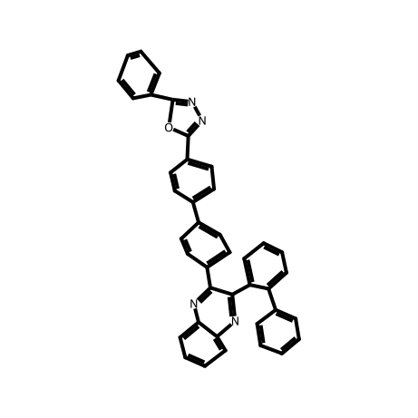 c1ccc(-c2nnc(-c3ccc(-c4ccc(-c5nc6ccccc6nc5-c5ccccc5-c5ccccc5)cc4)cc3)o2)cc1